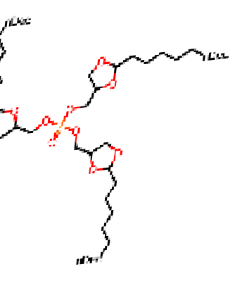 CCCCCCCCCCCCCCCC1OCC(COP(=O)(OCC2COC(CCCCCCCCCCCCCCC)O2)OCC2COC(CCCCCCCCCCCCCCC)O2)O1